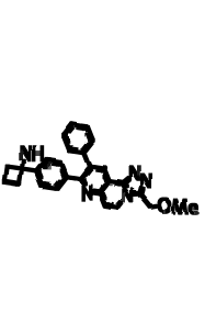 COCc1nnc2c3cc(-c4ccccc4)c(-c4ccc(C5(N)CCC5)cc4)nc3ccn12